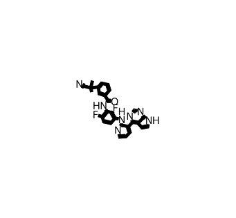 CC(C)(C#N)c1cccc(C(=O)Nc2c(F)ccc(Nc3ncccc3-c3ncnc4[nH]ccc34)c2F)c1